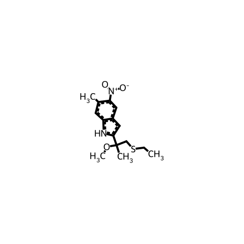 CCSCC(C)(OC)c1cc2cc([N+](=O)[O-])c(C)cc2[nH]1